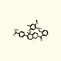 C=Nc1cc(C)c(C)cc1NCc1ccccc1C(=O)N1CC=C2C(C)(C)C(c3ccc(C(=O)O)cc3)=CC[C@]2(C)C1